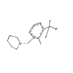 Cc1c(CN2CCCCC2)cccc1C(F)(F)F